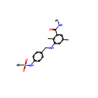 Cc1cc(NCc2ccc(NS(=O)(=O)C(C)(C)C)cc2)c(C)c(C(=O)NC(C)C)c1